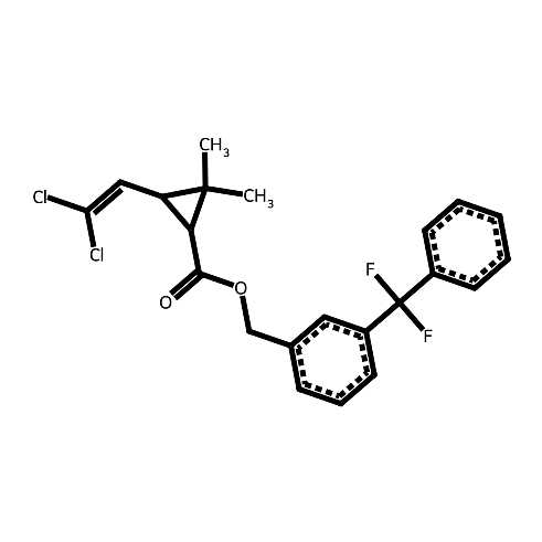 CC1(C)C(C=C(Cl)Cl)C1C(=O)OCc1cccc(C(F)(F)c2ccccc2)c1